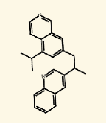 CC(C)c1cc(CC(C)c2cnc3ccccc3c2)cc2cnccc12